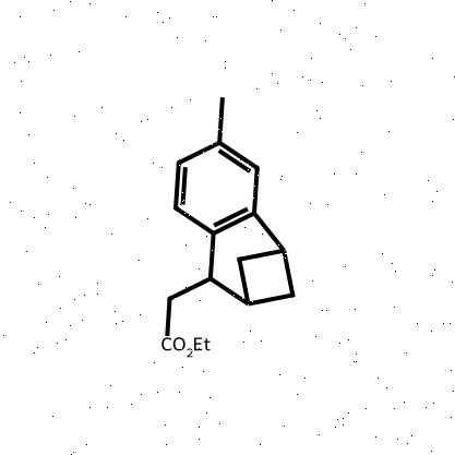 CCOC(=O)CC1c2ccc(C)cc2C2CC1C2